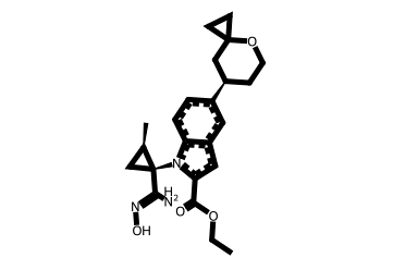 CCOC(=O)c1cc2cc([C@@H]3CCOC4(CC4)C3)ccc2n1[C@@]1(C(N)=NO)C[C@H]1C